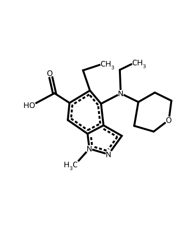 CCc1c(C(=O)O)cc2c(cnn2C)c1N(CC)C1CCOCC1